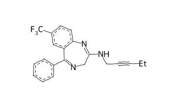 CCC#CCNC1=Nc2ccc(C(F)(F)F)cc2C(c2ccccc2)=NC1